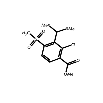 COC(=O)c1ccc(S(C)(=O)=O)c(C(SC)SC)c1Cl